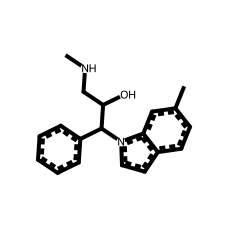 CNCC(O)C(c1ccccc1)n1ccc2ccc(C)cc21